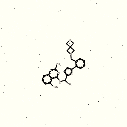 COc1cccc2nc(C)nc(NC(C)c3ccc(-c4ccccc4CN4CC5(COC5)C4)s3)c12